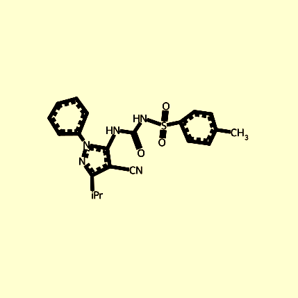 Cc1ccc(S(=O)(=O)NC(=O)Nc2c(C#N)c(C(C)C)nn2-c2ccccc2)cc1